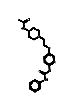 CC(=O)NC1CCN(CCOc2ccc(OC(=O)Nc3ccccc3)nc2)CC1